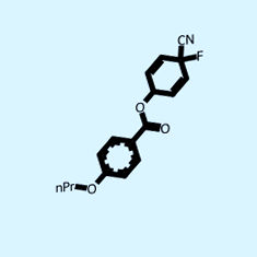 CCCOc1ccc(C(=O)OC2C=CC(F)(C#N)C=C2)cc1